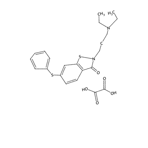 CCN(CC)CCCn1sc2cc(Sc3ccccc3)ccc2c1=O.O=C(O)C(=O)O